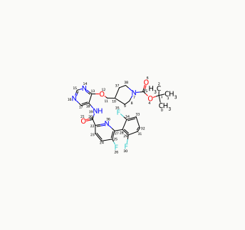 CC(C)(C)OC(=O)N1CCC(COc2ncncc2NC(=O)c2ccc(F)c(-c3c(F)cccc3F)n2)CC1